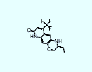 CCC1COc2cc3[nH]c(=O)cc(C(F)(F)F)c3cc2N1